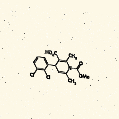 COC(=O)N1C(C)=CC(c2cccc(Cl)c2Cl)C(C(=O)O)=C1C